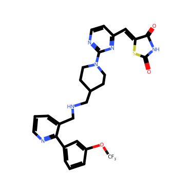 O=C1NC(=O)C(=Cc2ccnc(N3CCC(CNCc4cccnc4-c4cccc(OC(F)(F)F)c4)CC3)n2)S1